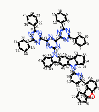 c1ccc(-c2nc(-c3ccccc3)nc(-c3nc(-c4nc(-c5ccccc5)nc(-c5ccccc5)n4)nc(-n4c5ccccc5c5cc6c(cc54)c4ccccc4n6-c4cccc(-c5cccc6oc7ccccc7c56)n4)n3)n2)cc1